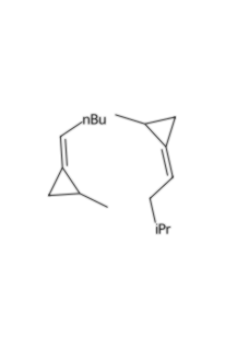 CC(C)CC=C1CC1C.CCCCC=C1CC1C